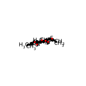 CC(C)CCc1ccc(-c2ccc(-c3ccc(-c4ccc5c(c4)C(C)(C)c4cc(-c6ccc(-c7ccc(-c8ccc(CCC(C)C)cc8F)s7)c7nsnc67)ccc4-5)c4nsnc34)s2)c(F)c1